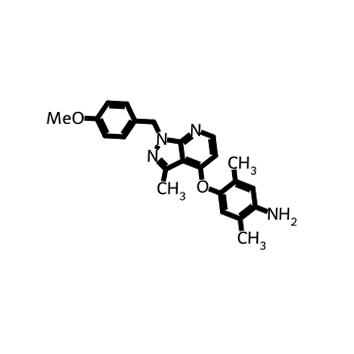 COc1ccc(Cn2nc(C)c3c(Oc4cc(C)c(N)cc4C)ccnc32)cc1